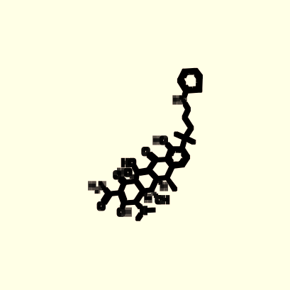 C[C@@H]1c2ccc(C(C)(C)CCCNc3ccccc3)c(O)c2C(=O)C2=C(O)[C@]3(O)C(=O)C(C(N)=O)=C(O)[C@H](N(C)C)[C@@H]3[C@@H](O)[C@@H]21